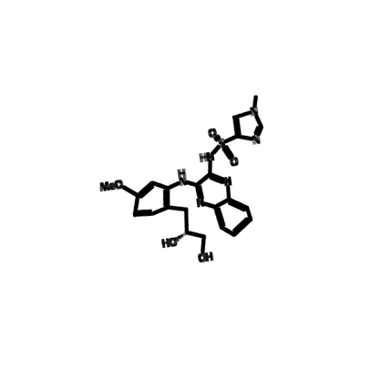 COc1ccc(C[C@@H](O)CO)c(Nc2nc3ccccc3nc2NS(=O)(=O)c2cn(C)cn2)c1